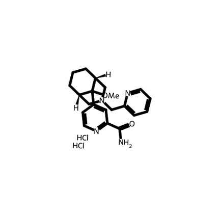 COC1(c2ccnc(C(N)=O)c2)[C@@H]2CCC[C@H]1CN(Cc1ccccn1)C2.Cl.Cl